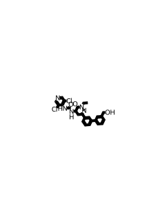 CCN1N=C(c2cccc(-c3cccc(CO)c3)c2)CC(NC(=O)Nc2c(Cl)cncc2Cl)C1=O